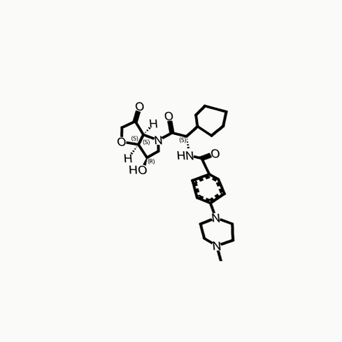 CN1CCN(c2ccc(C(=O)N[C@H](C(=O)N3C[C@@H](O)[C@H]4OCC(=O)[C@H]43)C3CCCCC3)cc2)CC1